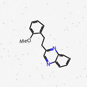 COc1ccccc1CCc1cnc2ccccc2n1